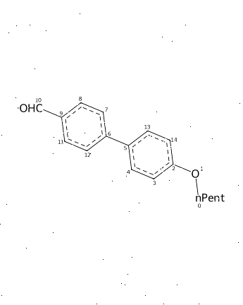 CCCCCOc1ccc(-c2ccc([C]=O)cc2)cc1